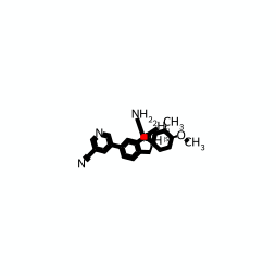 [2H]C1([2H])OC(N)=N[C@]12c1cc(-c3cncc(C#N)c3)ccc1C[C@@]21CC[C@H](OC)[C@@H](C)C1